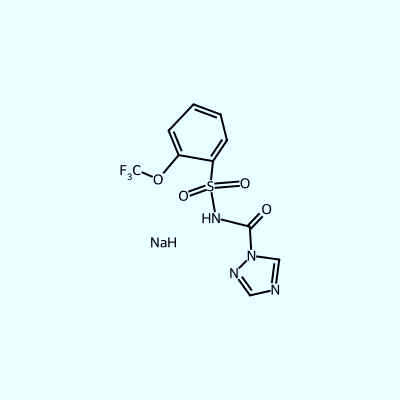 O=C(NS(=O)(=O)c1ccccc1OC(F)(F)F)n1cncn1.[NaH]